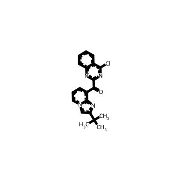 CC(C)(C)c1cn2cccc(C(=O)c3nc(Cl)c4ccccc4n3)c2n1